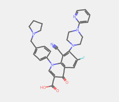 N#Cc1c(N2CCN(c3ccccn3)CC2)c(F)cc2c(=O)c(C(=O)O)cn(-c3ccc(CN4CCCC4)cc3)c12